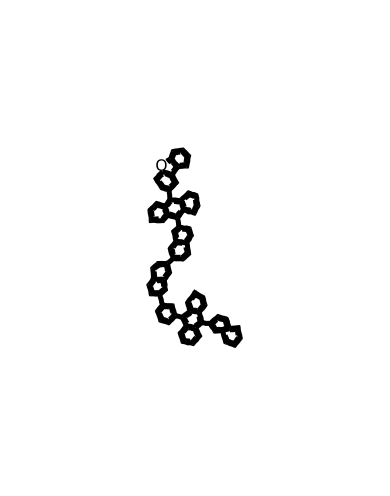 c1cc(-c2ccc3ccc(-c4ccc5ccc(-c6c7ccccc7c(-c7ccc8oc9ccccc9c8c7)c7ccccc67)cc5c4)cc3c2)cc(-c2c3ccccc3c(-c3ccc4ccccc4c3)c3ccccc23)c1